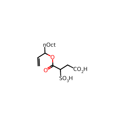 C=CC(CCCCCCCC)OC(=O)C(CC(=O)O)S(=O)(=O)O